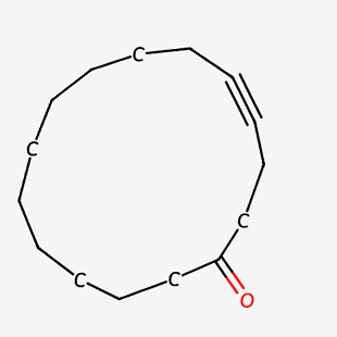 O=C1CCC#CCCCCCCCCCC1